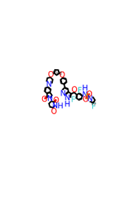 O=C1CCC(N2Cc3cc(N4CCC(O[C@@H]5CC[C@@H](Oc6ccc(-c7cnc8[nH]cc(C(=O)c9c(F)ccc(NS(=O)(=O)N%10CC[C@@H](F)C%10)c9F)c8c7)cc6)C5)CC4)ccc3C2=O)C(=O)N1